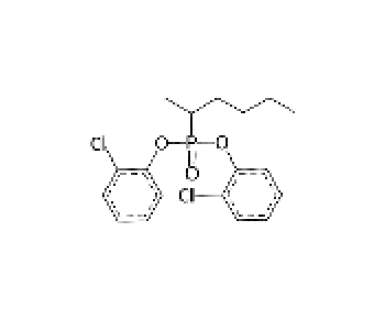 CCCCC(C)P(=O)(Oc1ccccc1Cl)Oc1ccccc1Cl